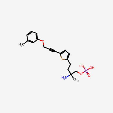 Cc1cccc(OCC#Cc2ccc(CCC(C)(N)COP(=O)(O)O)s2)c1